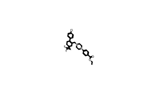 CCOC(=O)c1ccc(N2CCN(CC3=C(c4ccc(Cl)cc4)CCC4(C3)CC4(F)F)CC2)cc1